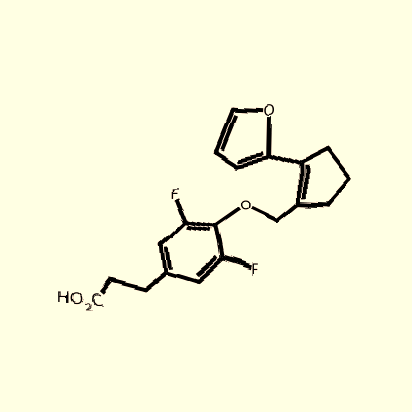 O=C(O)CCc1cc(F)c(OCC2=C(c3ccco3)CCC2)c(F)c1